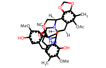 COc1cc2c(cc1O)CCN[C@]21CS[C@@H]2c3c(OC(C)=O)c(C)c4c(c3[C@H](COC1=O)N1[C@@H]2C2NC(Cc3cc(C)c(OC)c(O)c32)[C@@H]1C#N)OCO4